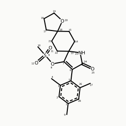 Cc1cc(C)c(C2=C(OS(C)(=O)=O)C3(CCC4(CCCO4)CC3)NC2=O)c(C)c1